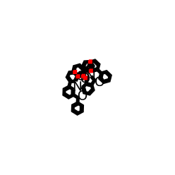 O=C(c1ccccc1)c1cccc2c3cccc(C(=O)c4ccccc4)c3n(-c3cccc4c3C(=O)N(c3c(-c5ccccc5)cccc3-c3ccccc3)C4=O)c12